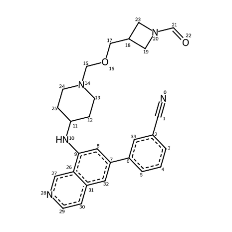 N#Cc1cccc(-c2cc(NC3CCN(COCC4CN(C=O)C4)CC3)c3cnccc3c2)c1